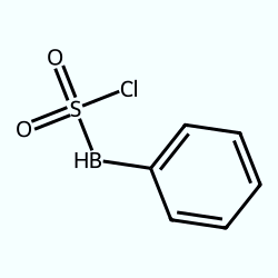 O=S(=O)(Cl)Bc1ccccc1